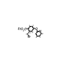 CCOC(=O)c1ccc(Oc2ccccn2)cc1CBr